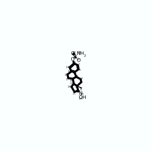 C[C@]12CCC3c4ccc(OS(N)(=O)=O)cc4CCC3C1CC/C2=N\O